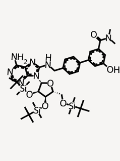 CN(C)C(=O)c1cc(O)cc(-c2ccc(CNc3nc4c(N)ncnc4n3[C@@H]3O[C@H](CO[Si](C)(C)C(C)(C)C)[C@@H](O[Si](C)(C)C(C)(C)C)[C@H]3O[Si](C)(C)C(C)(C)C)cc2)c1